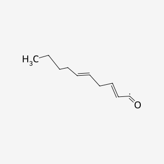 CCCCC=CCC=C[C]=O